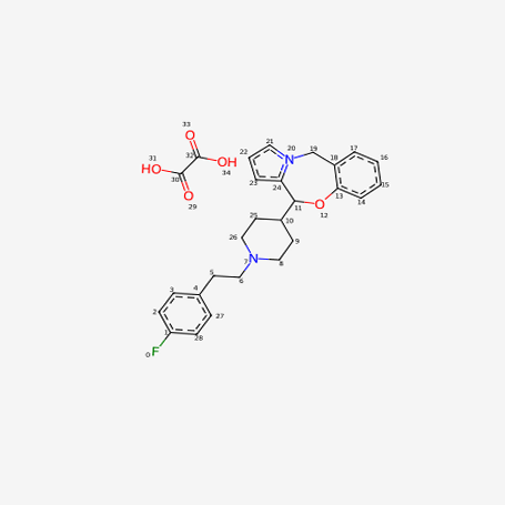 Fc1ccc(CCN2CCC(C3Oc4ccccc4Cn4cccc43)CC2)cc1.O=C(O)C(=O)O